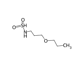 CCCOCCCN[SH](=O)=O